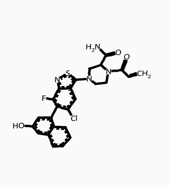 C=CC(=O)N1CCN(c2snc3c(F)c(-c4cc(O)cc5ccccc45)c(Cl)cc23)CC1C(N)=O